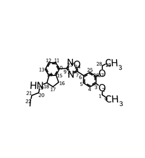 CCOc1ccc(-c2nc(-c3cccc4c3CCC4NCCI)no2)cc1OCC